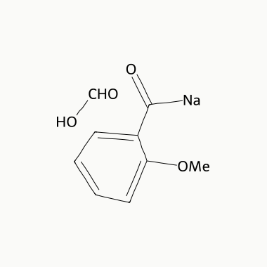 COc1ccccc1[C](=O)[Na].O=CO